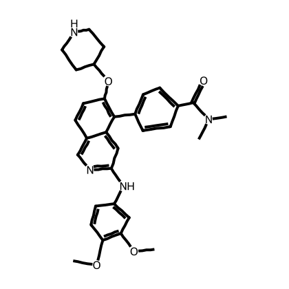 COc1ccc(Nc2cc3c(-c4ccc(C(=O)N(C)C)cc4)c(OC4CCNCC4)ccc3cn2)cc1OC